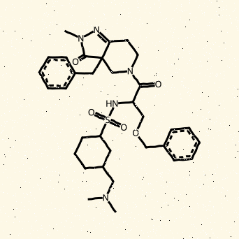 CN(C)CC1CCCC(S(=O)(=O)NC(COCc2ccccc2)C(=O)N2CCC3=NN(C)C(=O)C3(Cc3ccccc3)C2)C1